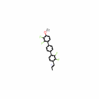 C/C=C/c1ccc(-c2ccc(-c3ccc(OCC)c(F)c3F)cc2)c(F)c1F